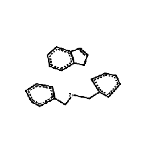 C1=Cc2ccccc2C1.c1ccc([CH2][Zr][CH2]c2ccccc2)cc1